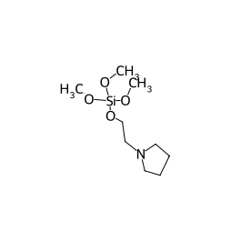 CO[Si](OC)(OC)OCCN1CCCC1